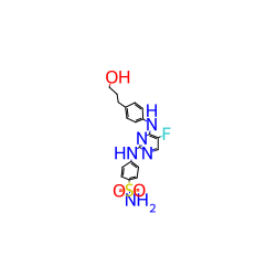 NS(=O)(=O)c1ccc(Nc2ncc(F)c(Nc3ccc(CCCO)cc3)n2)cc1